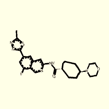 Cc1nnc(-c2cc(F)c3cnc(NC(=O)[C@H]4CC[C@H](N5CCOCC5)CC4)cc3c2)s1